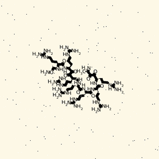 C[C@H](N)C(=O)C(=O)[C@H](CCCNC(N)N)NC(=O)[C@H](CCCNC(N)N)NC(=O)[C@H](CCCNC(N)N)NC(=O)[C@H](CCCNC(N)N)NN[C@@H](CCCNC(N)N)C(=O)C(=O)[C@H](CCCNC(N)N)NC(=O)[C@H](CCCNC(N)N)NCON